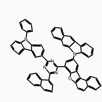 c1ccc(-n2c3ccccc3c3cc(-c4nc(-c5cccc6ccccc56)nc(-c5cc(-n6c7ccccc7c7cc8ccccc8cc76)cc6c5oc5ccc7ccccc7c56)n4)ccc32)cc1